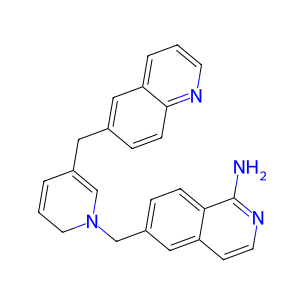 Nc1nccc2cc(CN3C=C(Cc4ccc5ncccc5c4)C=CC3)ccc12